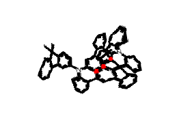 CC1(C)c2ccccc2-c2cc(N(c3ccc4c(c3)-c3ccccc3C4(C)C)c3ccccc3-c3ccc4c(c3)-c3ccccc3C43c4ccccc4-n4c5ccccc5c5cccc3c54)ccc21